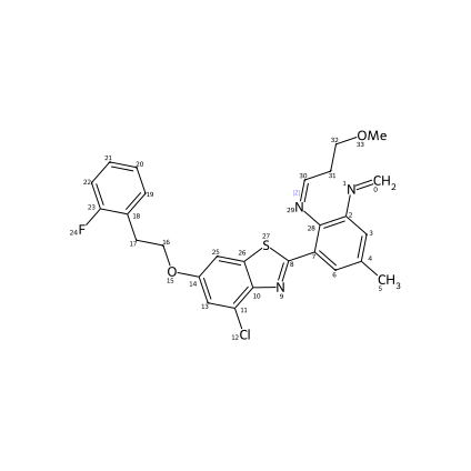 C=Nc1cc(C)cc(-c2nc3c(Cl)cc(OCCc4ccccc4F)cc3s2)c1/N=C\CCOC